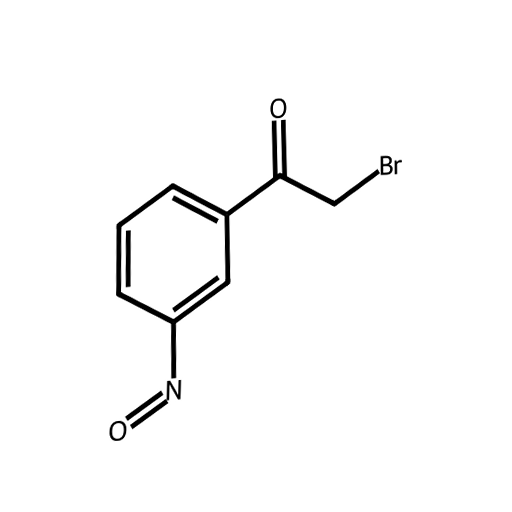 O=Nc1cccc(C(=O)CBr)c1